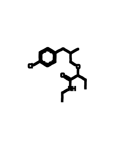 CCNC(=O)C(CC)OCC(C)Cc1ccc(Cl)cc1